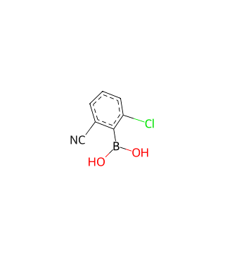 N#Cc1cccc(Cl)c1B(O)O